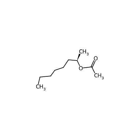 CCCCCC[C@@H](C)OC(C)=O